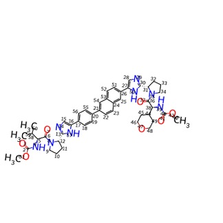 COC(=O)N[C@H](C(=O)N1CCC[C@H]1c1ncc(-c2ccc(-c3ccc4cc(-c5cnc([C@@H]6CCCN6C(=O)[C@@H](NC(=O)OC)C6CCOCC6)[nH]5)ccc4c3)cc2)[nH]1)C(C)C